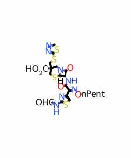 CCCCCON=C(C(=O)NC1C(=O)N2CC(CSc3nncs3)(C(=O)O)CS[C@H]12)c1csc(NC=O)n1